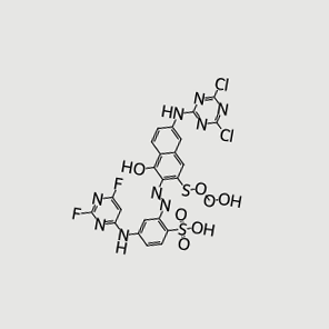 O=S(=O)(O)c1ccc(Nc2cc(F)nc(F)n2)cc1/N=N/c1c(SOOO)cc2cc(Nc3nc(Cl)nc(Cl)n3)ccc2c1O